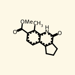 COC(=O)c1ccc2c3c(c(=O)[nH]c2c1C)CCC3